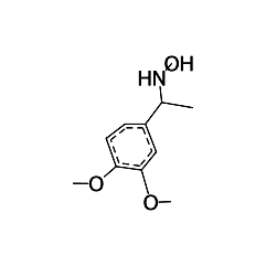 COc1ccc(C(C)NO)cc1OC